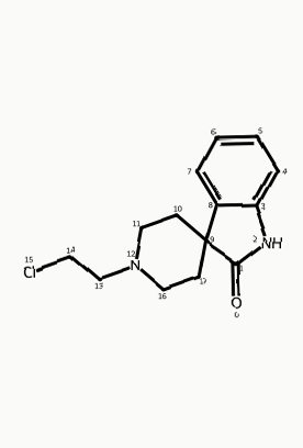 O=C1Nc2ccccc2C12CCN(CCCl)CC2